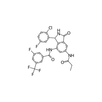 CCC(=O)Nc1cc(NC(=O)c2cc(F)cc(C(F)(F)F)c2)c2c(c1)C(=O)NC2c1cc(F)ccc1Cl